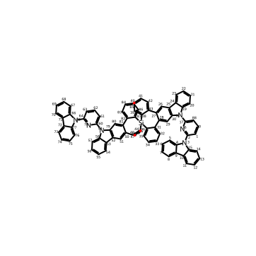 c1cc(-n2c3ccccc3c3ccccc32)nc(-n2c3ccccc3c3cc4c(cc32)-c2ccccc2[Si]2(c3ccccc3-4)c3ccccc3-c3cc4c5ccccc5n(-c5cccc(-n6c7ccccc7c7ccccc76)n5)c4cc3-c3ccccc32)c1